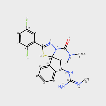 CON(C)C(=O)N1N=C(c2cc(F)ccc2F)SC1(CCN/C(N)=N\C#N)c1ccccc1